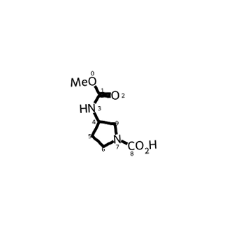 COC(=O)NC1CCN(C(=O)O)C1